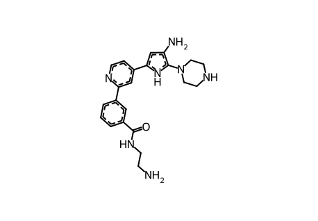 NCCNC(=O)c1cccc(-c2cc(-c3cc(N)c(N4CCNCC4)[nH]3)ccn2)c1